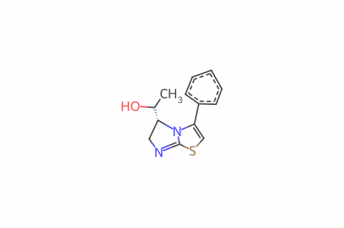 CC(O)[C@H]1CN=C2SC=C(c3ccccc3)N21